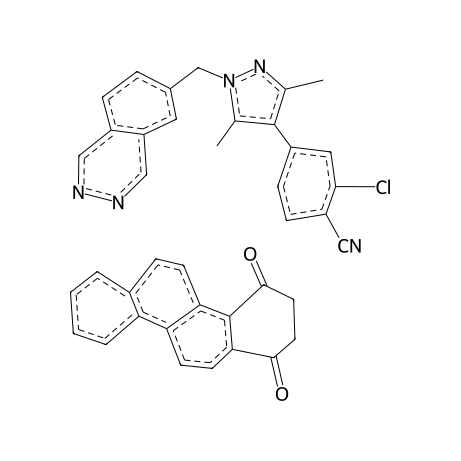 Cc1nn(Cc2ccc3cnncc3c2)c(C)c1-c1ccc(C#N)c(Cl)c1.O=C1CCC(=O)c2c1ccc1c2ccc2ccccc21